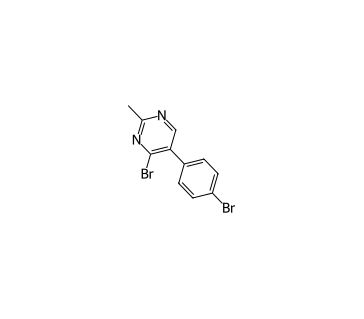 Cc1ncc(-c2ccc(Br)cc2)c(Br)n1